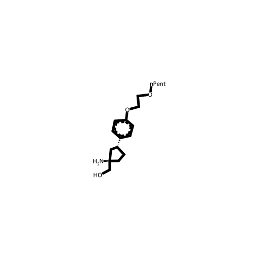 CCCCCOCCOc1ccc([C@@H]2CC[C@](N)(CO)C2)cc1